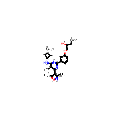 CNCC(O)COc1cccc(-c2nc(N[C@H]3C[C@@H](C(=O)O)C3)c(C)c(-c3c(C)noc3C)n2)c1